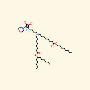 CCCCCCCCOC(=O)CCCCCCCN(CCCCCCCC(=O)OC(CCCCC)CCCCCC)CCCNc1c(N2CCOCC2)c(=O)c1=O